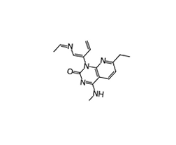 C=C/C(=C\N=C/C)n1c(=O)nc(NC)c2ccc(CC)nc21